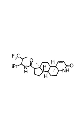 CC(C)C(NC(=O)C1CC[C@H]2[C@@H]3CCC4NC(=O)C=C[C@]4(C)[C@@H]3CC[C@]12C)C(C)C(F)(F)F